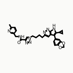 Cc1ccc(CNC(=O)c2cn(CCCCc3cc4c(-c5ccc6c(c5)OCO6)c(C5CC5)[nH]c4nn3)nn2)cn1